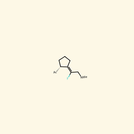 CNC/C(F)=C1\CCC[C@H]1C(C)=O